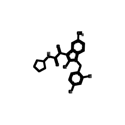 Cc1ccc2c(c1)c(C(=O)C(=O)NC1CCCC1)c(Cl)n2Cc1ccc(Cl)cc1Cl